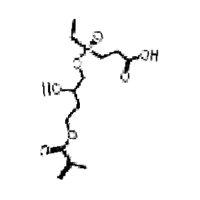 C=C(C)C(=O)OCCC(O)COP(=O)(CC)CCC(=O)O